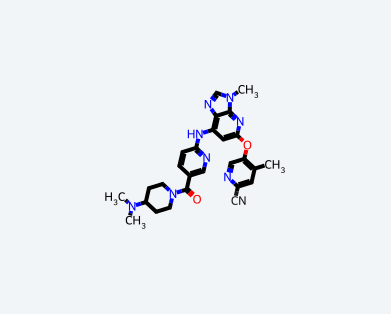 Cc1cc(C#N)ncc1Oc1cc(Nc2ccc(C(=O)N3CCC(N(C)C)CC3)cn2)c2ncn(C)c2n1